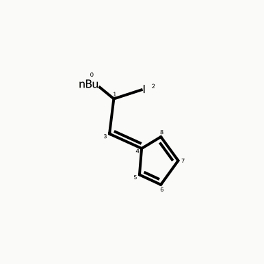 CCCCC(I)C=C1C=CC=C1